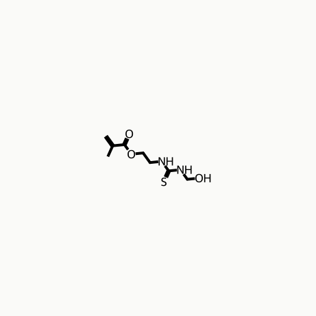 C=C(C)C(=O)OCCNC(=S)NCO